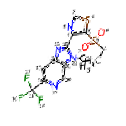 CCS(=O)(=O)c1scnc1-c1nc2cc(C(F)(F)F)ncc2n1C